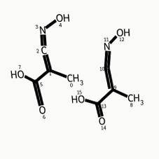 CC(=C=NO)C(=O)O.CC(=C=NO)C(=O)O